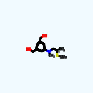 CSS[C@@H](C)CN(C)c1cc(CO)cc(CO)c1